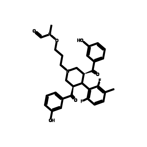 Cc1ccc(F)c(C2[C@@H](C(=O)c3cccc(O)c3)CN(CCCON(C)C=O)C[C@@H]2C(=O)c2cccc(O)c2)c1F